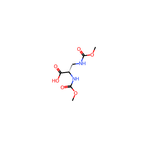 COC(=O)NC[C@H](NC(=O)OC)C(=O)O